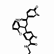 CCNC(=O)c1ccc(C(C/C(=N\O)c2ccc(=O)n(C)c2)c2ccccc2Cl)cc1F